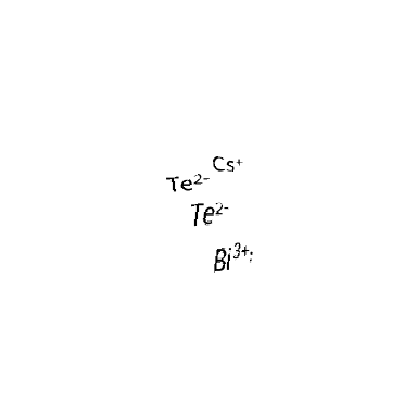 [Bi+3].[Cs+].[Te-2].[Te-2]